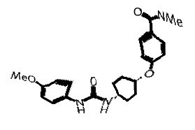 CNC(=O)c1ccc(O[C@H]2CC[C@@H](NC(=O)Nc3ccc(OC)cc3)CC2)cc1